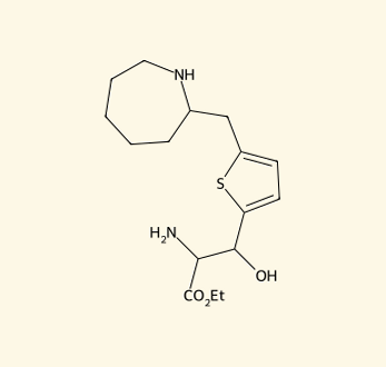 CCOC(=O)C(N)C(O)c1ccc(CC2CCCCCN2)s1